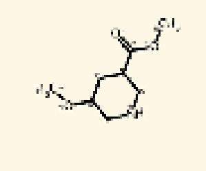 COC(=O)C1CNCC(OC)C1